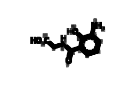 Nc1cccc(C(=O)NCC(=O)O)c1O